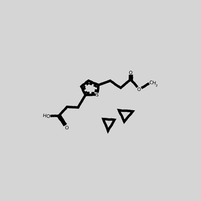 C1CC1.C1CC1.COC(=O)CCc1ccc(CCC(=O)O)s1